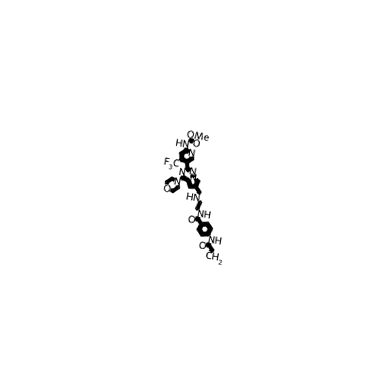 C=CC(=O)Nc1ccc(C(=O)NCCNCc2cc3c(N4CCOCC4)nc(-c4cnc(NC(=O)OC)cc4C(F)(F)F)nn3c2)cc1